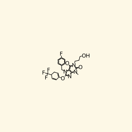 Cn1c(=O)n(CCCO)c(=O)c2c1nc(OC1=CCC(C(F)(F)F)C=C1)n2Cc1ccc(F)cc1